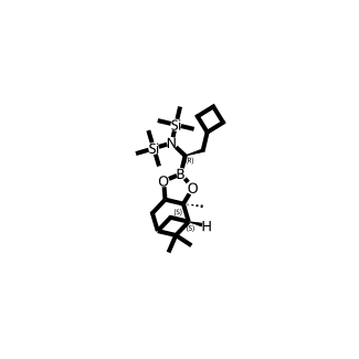 CC1(C)C2CC3OB([C@H](CC4CCC4)N([Si](C)(C)C)[Si](C)(C)C)O[C@@]3(C)[C@H]1C2